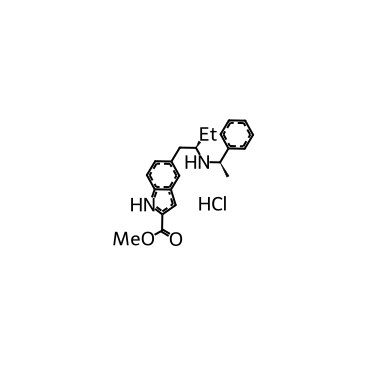 CC[C@H](Cc1ccc2[nH]c(C(=O)OC)cc2c1)N[C@H](C)c1ccccc1.Cl